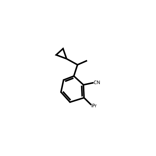 CC(C)c1cccc(C(C)C2CC2)c1C#N